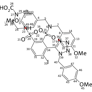 COc1ccc(CN(Cc2ccc(OC)cc2)S(=O)(=O)c2c(S(=O)(=O)NC[C@H](C)N(C(=O)O)C(C)(C)C)ccc(I)c2-c2nnnn2Cc2ccc(OC)cc2)cc1